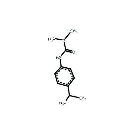 CC(C)c1ccc(NC(=O)N(C)C)cc1